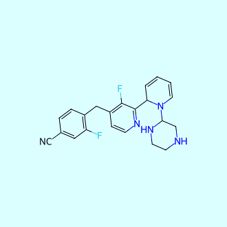 N#Cc1ccc(Cc2ccnc(C3C=CC=CN3C3CNCCN3)c2F)c(F)c1